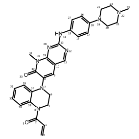 C=CC(=O)N1CCN(c2cc3cnc(Nc4ccc(N5CCN(C)CC5)cc4)nc3n(C)c2=O)c2ccccc21